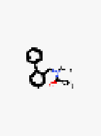 CC(=O)N(C)Cc1ccccc1-c1ccccc1